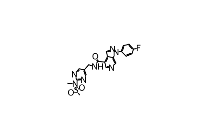 CN(c1ncc(CNC(=O)c2cncc3c2cnn3-c2ccc(F)cc2)cn1)S(C)(=O)=O